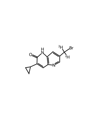 [2H]C([2H])(Br)c1cnc2cc(C3CC3)c(=O)[nH]c2c1